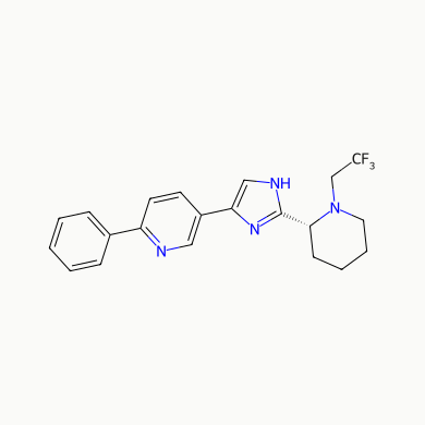 FC(F)(F)CN1CCCC[C@@H]1c1nc(-c2ccc(-c3ccccc3)nc2)c[nH]1